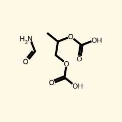 CC(COC(=O)O)OC(=O)O.NC=O